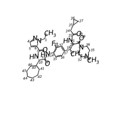 CCn1nccc1C(=O)N[C@H](C(=O)Nc1ccc([C@H](C)[C@@H](NC(=O)CC2CC2)C(=O)N2CCN(C)CC2)cc1F)C1CCCCCC1